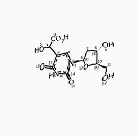 O=C(O)C(O)c1cn([C@H]2C[C@H](O)[C@@H](CO)O2)c(=O)[nH]c1=O